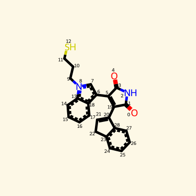 O=C1NC(=O)C(c2cn(CCCS)c3ccccc23)=C1C1=CCc2ccccc21